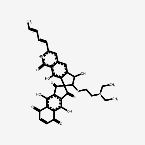 C/C=C/C=C/c1cc2cc3c(c(O)c2c(=O)[nH]1)C1(C(=O)c2c(O)c4c(c(O)c2C1=O)C(=O)C=CC4=O)C(SCCN(CC)CC)C3O